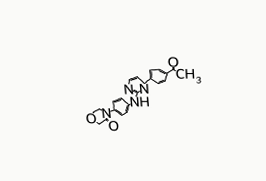 CC(=O)c1ccc(-c2ccnc(Nc3ccc(N4CCOCC4=O)cc3)n2)cc1